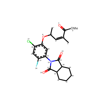 COC(=O)C(C)=CC(C)Oc1cc(N2C(=O)C3CCCCC3C2=O)c(F)cc1Cl